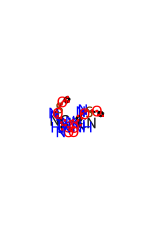 CN(C)CCN(C(=NC#N)NOC(=O)C(=O)ONC(=NC#N)N(CCN(C)C)c1ccc(-c2nnc(CSCCOc3ccccc3)o2)cc1)c1ccc(-c2nnc(CSCCOc3ccccc3)o2)cc1